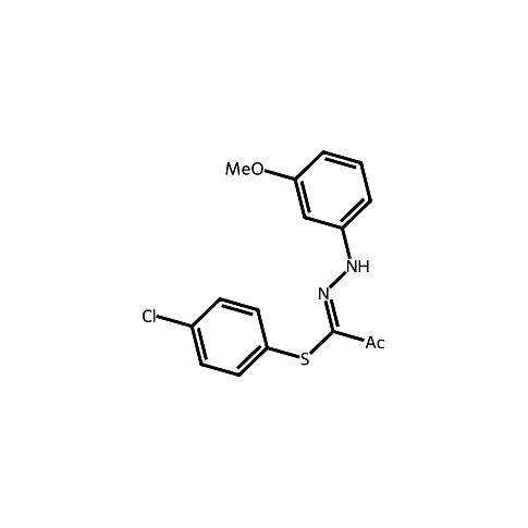 COc1cccc(N/N=C(/Sc2ccc(Cl)cc2)C(C)=O)c1